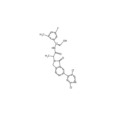 Cc1cc(F)cc([C@@H](CO)NC(=O)C(C)N2Cc3ccc(-c4nc(Cl)ncc4Cl)cc3C2=O)c1